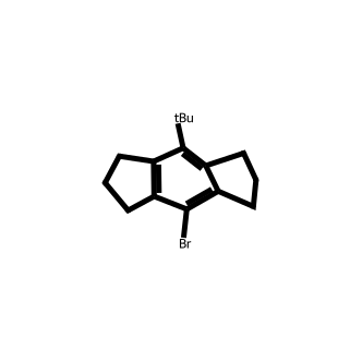 CC(C)(C)c1c2c(c(Br)c3c1CCC3)CCC2